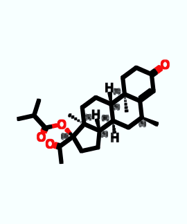 CC(=O)[C@@]1(OC(=O)C(C)C)CC[C@H]2[C@@H]3C[C@H](C)C4=CC(=O)CC[C@]4(C)[C@H]3CC[C@@]21C